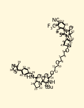 Cc1nc(OCCCCOCCCOCC(=O)N[C@H](C(=O)N2CCC[C@H]2C(=O)NCc2ccc(-c3scnc3C)cc2)C(C)(C)C)ccc1N1C(=S)N(c2ccc(C#N)c(C(F)(F)F)c2F)C(=O)C1(C)C